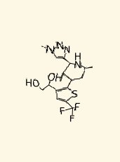 C[C@H]1CC(c2sc(C(F)(F)F)cc2[C@H](O)CO)C[C@@H](c2cn(C)nn2)N1